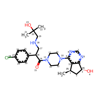 C[C@@H]1C[C@@H](O)c2ncnc(N3CCN(C(=O)C(CNCC(C)(C)O)c4ccc(Cl)cc4)CC3)c21